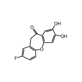 O=C1Cc2cc(F)ccc2Oc2cc(O)c(O)cc21